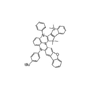 CC1(C)C2=C(C3=C1c1ccccc1[Si]3(C)C)N(c1ccccc1)c1cccc3c1B2c1cc2oc4ccccc4c2cc1N3c1ccc(C(C)(C)C)cc1